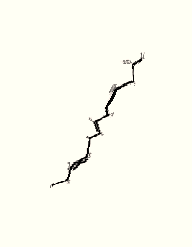 CC/C=C/CC=CCCCCC